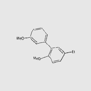 CCc1ccc(OC)c(-c2cccc(OC)c2)c1